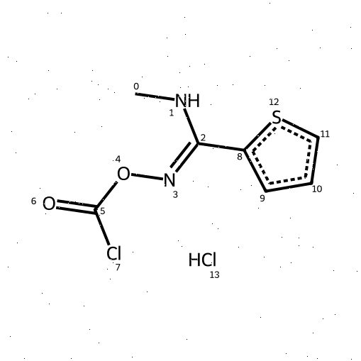 CNC(=NOC(=O)Cl)c1cccs1.Cl